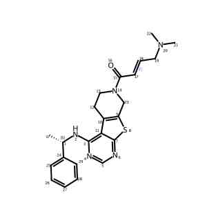 C[C@H](Nc1ncnc2sc3c(c12)CCN(C(=O)/C=C/CN(C)C)C3)c1ccccc1